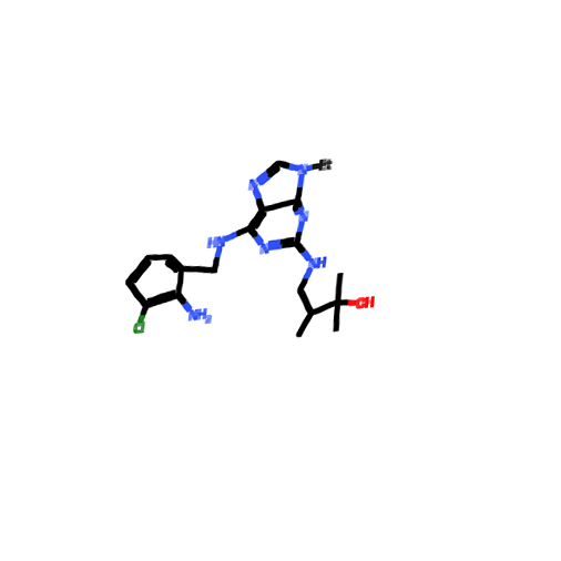 CCn1cnc2c(NCc3cccc(Cl)c3N)nc(NCC(C)C(C)(C)O)nc21